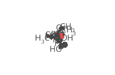 CN(C)C(=O)CCc1nc2c(N3CC(N(C)C)C3)nc3c(F)c(-c4cc(O)cc5ccccc45)cc(CO)c3c2n1C1C2CNC1C2